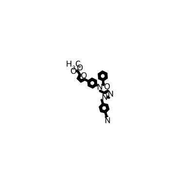 COC(=O)c1ccc(-c2ccc(N(Cc3cncn3Cc3ccc(C#N)cc3)C(=O)c3ccccc3)cc2)o1